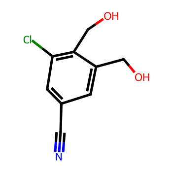 N#Cc1cc(Cl)c(CO)c(CO)c1